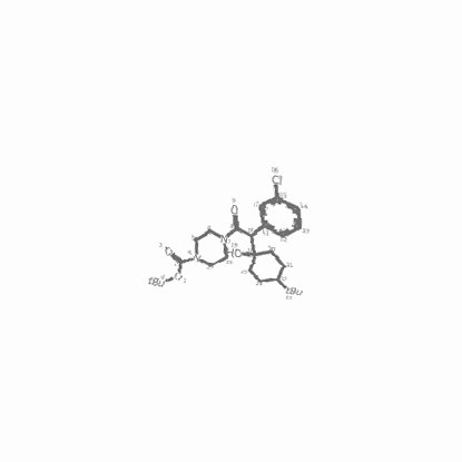 CC(C)(C)OC(=O)N1CCN(C(=O)C(c2cccc(Cl)c2)C2(O)CCC(C(C)(C)C)CC2)CC1